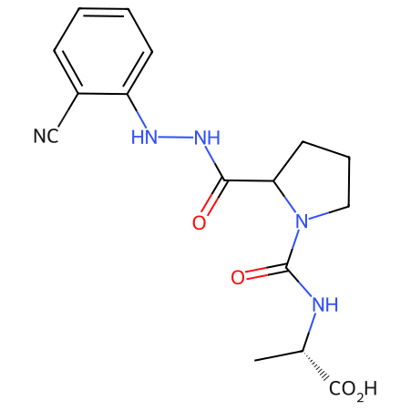 C[C@H](NC(=O)N1CCCC1C(=O)NNc1ccccc1C#N)C(=O)O